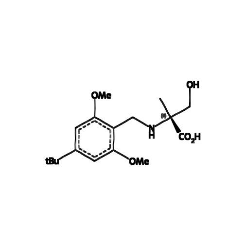 COc1cc(C(C)(C)C)cc(OC)c1CN[C@](C)(CO)C(=O)O